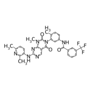 Cc1ccc(Nc2ncc3c(=O)n(-c4cc(NC(=O)c5cccc(C(F)(F)F)c5)ccc4C)c(=O)n(C)c3n2)c(C)n1